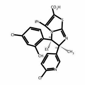 CC[C@]1(c2ccc(Cl)cc2C)N2C(=N[C@@]1(C)c1ccc(Cl)nc1)SC(C(=O)O)=C2C(C)C